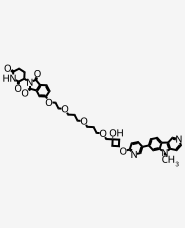 Cn1c2ccncc2c2ccc(-c3ccc(O[C@H]4C[C@](O)(COCCCOCCCOCCOc5ccc6c(c5)C(=O)N(C5CCC(=O)NC5=O)C6=O)C4)nc3)cc21